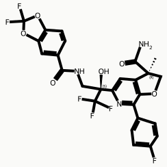 C[C@]1(C(N)=O)COc2c1cc([C@@](O)(CNC(=O)c1ccc3c(c1)OC(F)(F)O3)C(F)(F)F)nc2-c1ccc(F)cc1